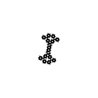 c1ccc(N(c2ccccc2)c2ccc(-c3nc4cc5cc6nc(-c7ccc(N(c8ccccc8)c8ccccc8)cc7)c(-c7ccc(N(c8ccccc8)c8ccccc8)cc7)nc6cc5cc4nc3-c3ccc(N(c4ccccc4)c4ccccc4)cc3)cc2)cc1